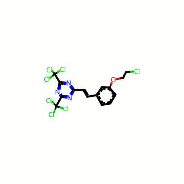 ClCCOc1cccc(C=Cc2nc(C(Cl)(Cl)Cl)nc(C(Cl)(Cl)Cl)n2)c1